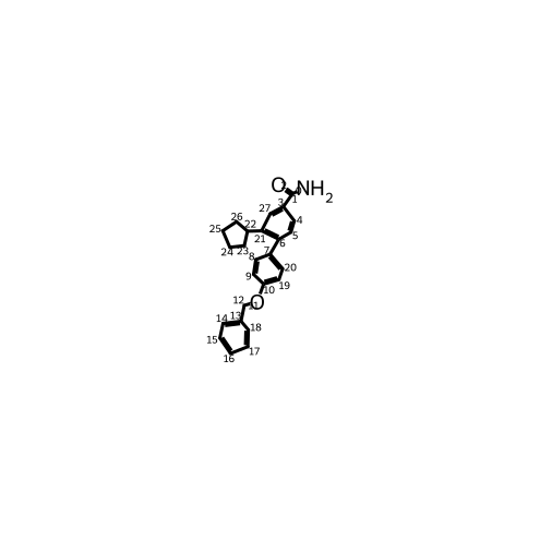 NC(=O)c1ccc(-c2ccc(OCc3ccccc3)cc2)c(C2CCCC2)c1